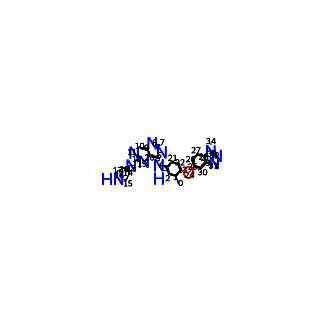 Cc1cc(Nc2ncnc3cnc(N4C5CNCC54)nc23)ccc1Oc1ccc2c(c1)nnn2C